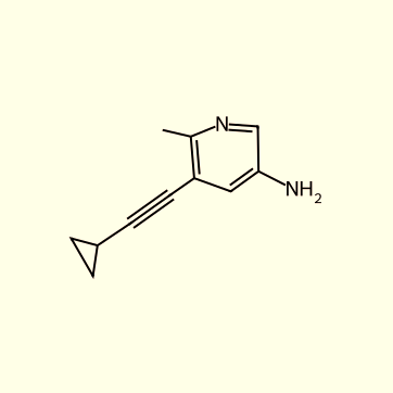 Cc1ncc(N)cc1C#CC1CC1